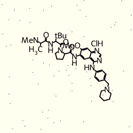 CNC(C)C(=O)NC(C(=O)N1CCCC1C(=O)Nc1cc2c(Nc3ccc(CN4CCCCC4)cc3)ncnc2cc1OC)C(C)(C)C.Cl